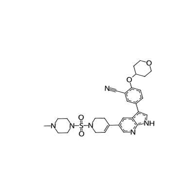 CN1CCN(S(=O)(=O)N2CC=C(c3cnc4[nH]cc(-c5ccc(OC6CCOCC6)c(C#N)c5)c4c3)CC2)CC1